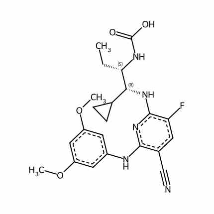 CC[C@H](NC(=O)O)[C@H](Nc1nc(Nc2cc(OC)cc(OC)c2)c(C#N)cc1F)C1CC1